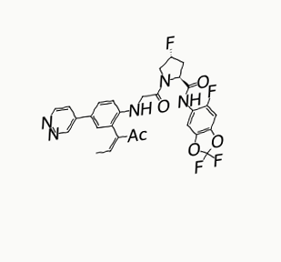 C/C=C(/C(C)=O)c1cc(-c2ccnnc2)ccc1NCC(=O)N1C[C@H](F)C[C@H]1C(=O)Nc1cc2c(cc1F)OC(F)(F)O2